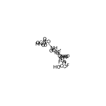 C#Cc1c(F)ccc2cc(O)cc(-c3ncc4c(N5CC6CCC(C5)N6)nc(OC[C@@]56CC[C@@H](COC(=O)NCCCc7cccc8c7C(=O)N(C7CCC(=O)NC7=O)C8=O)N5CC(=C)C6)nc4c3F)c12